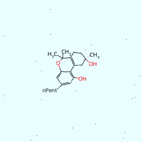 CCCCCc1cc(O)c2c(c1)OC(C)(C)C1=C2C[C@](C)(O)CC1